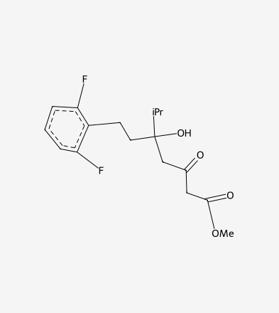 COC(=O)CC(=O)CC(O)(CCc1c(F)cccc1F)C(C)C